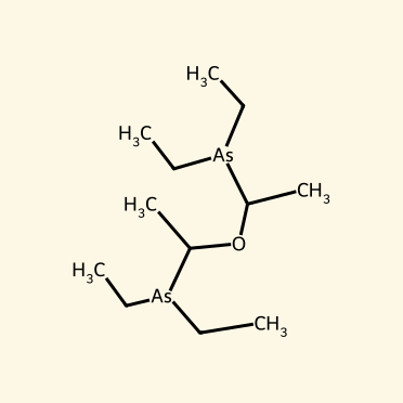 CC[As](CC)C(C)OC(C)[As](CC)CC